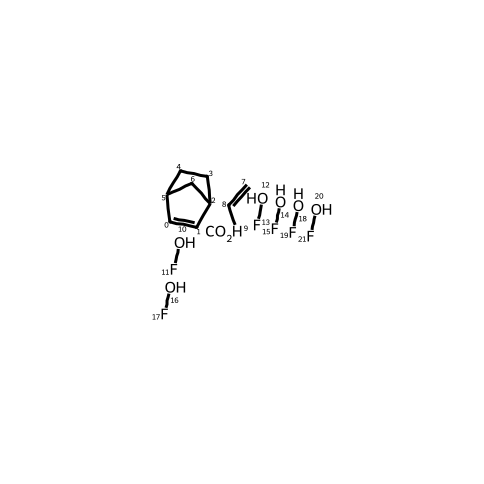 C1=CC2CCC1C2.C=CC(=O)O.OF.OF.OF.OF.OF.OF